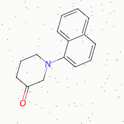 O=C1CCCN(c2cccc3ccccc23)C1